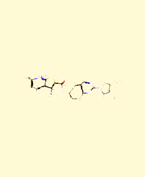 CN[C@H]1CN(c2ncc3c(n2)CC[C@H](NC(=O)c2sc4nc(C)cc(C)c4c2N)C3)C[C@@H]1OC(C)C